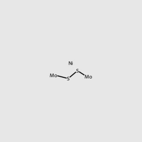 [Mo][S][S][Mo].[Ni]